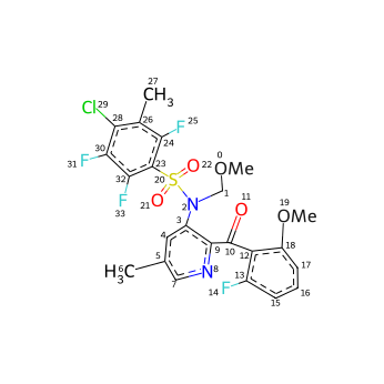 COCN(c1cc(C)cnc1C(=O)c1c(F)cccc1OC)S(=O)(=O)c1c(F)c(C)c(Cl)c(F)c1F